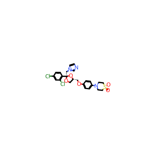 O=S1(=O)CCN(c2ccc(OC[C@@H]3CO[C@@](Cn4ccnc4)(c4ccc(Cl)cc4Cl)O3)cc2)CC1